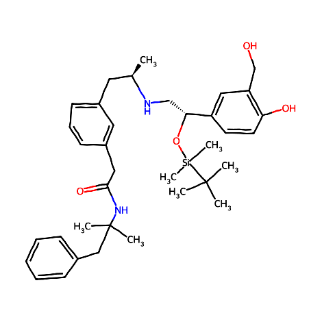 C[C@H](Cc1cccc(CC(=O)NC(C)(C)Cc2ccccc2)c1)NC[C@@H](O[Si](C)(C)C(C)(C)C)c1ccc(O)c(CO)c1